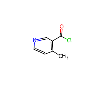 Cc1ccncc1C(=O)Cl